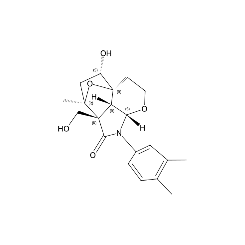 Cc1ccc(N2C(=O)[C@@]3(CO)[C@H]4[C@@H]2OCC[C@@]42O[C@]3(C)C[C@@H]2O)cc1C